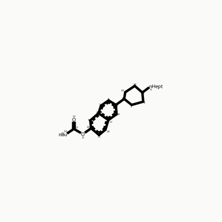 CCCCCCCC1CCC(c2ccc3cc(OC(=O)CCCC)ccc3c2)CC1